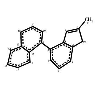 CC1=Cc2c(cccc2-c2cccc3ccccc23)C1